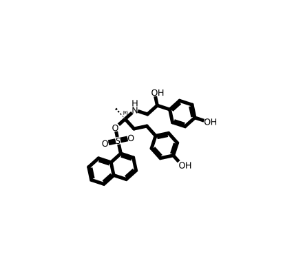 C[C@@](CCc1ccc(O)cc1)(NCC(O)c1ccc(O)cc1)OS(=O)(=O)c1cccc2ccccc12